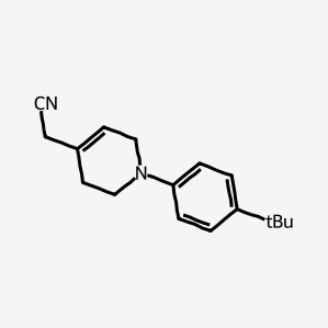 CC(C)(C)c1ccc(N2CC=C(CC#N)CC2)cc1